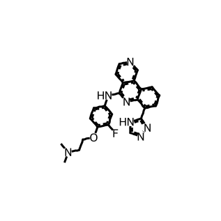 CN(C)CCOc1ccc(Nc2nc3c(-c4nnc[nH]4)cccc3c3cnccc23)cc1F